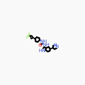 O=C(Nc1ccc(C2CC(F)(F)C2)cc1)Nc1c[nH]c2ccc(-c3ccnnc3)cc12